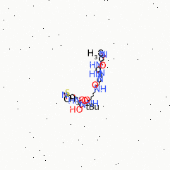 Cc1ncsc1-c1ccc(CNC(=O)[C@@H]2C[C@@H](O)CN2C(=O)[C@@H](NC(=O)CCCCCCNC(=O)CC2CCN(Cc3nc4cc(NC(=O)c5ccc6c(cnn6C)c5)ccc4[nH]3)C2)C(C)(C)C)cc1